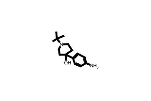 CC(C)(C)N1CCC(O)(c2ccc(N)cc2)CC1